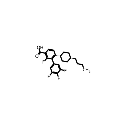 CCCC[C@H]1CC[C@H](c2ccc(C(=O)O)c(F)c2-c2cc(F)c(F)c(F)c2)CC1